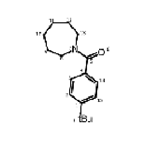 CC(C)(C)c1ccc(C(=O)N2CCCCCC2)cc1